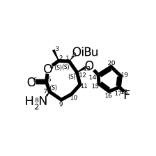 CC(C)CO[C@H]1[C@H](C)OC(=O)[C@@H](N)CCC[C@@H]1Oc1ccc(F)cc1